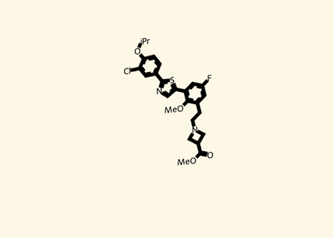 COC(=O)C1CN(CCc2cc(F)cc(-c3cnc(-c4ccc(OC(C)C)c(Cl)c4)s3)c2OC)C1